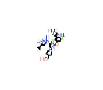 Cc1cc2c(F)c(Oc3nc(Nc4cc(C5CC5)[nH]n4)cc(N4CCC(CO)CC4)n3)cc(F)c2[nH]1